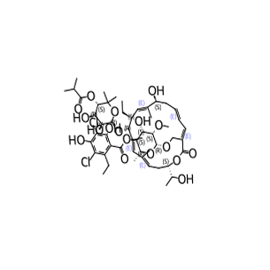 CCc1c(Cl)c(O)c(Cl)c(O)c1C(=O)O[C@H]1[C@H](O)[C@H](OC)[C@H](OC/C2=C\C=C\C[C@H](O)/C(C)=C/[C@H](CC)[C@@H](O[C@@H]3OC(C)(C)[C@@H](OC(=O)C(C)C)[C@H](O)[C@@H]3O)/C(C)=C/C(C)=C/C[C@@H](C(C)O)OC2=O)O[C@@H]1C